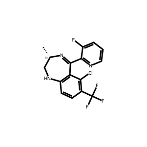 C[C@H]1CNc2ccc(C(F)(F)F)c(Cl)c2C(c2ncccc2F)=N1